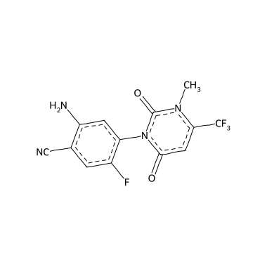 Cn1c(C(F)(F)F)cc(=O)n(-c2cc(N)c(C#N)cc2F)c1=O